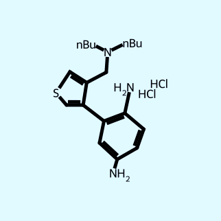 CCCCN(CCCC)Cc1cscc1-c1cc(N)ccc1N.Cl.Cl